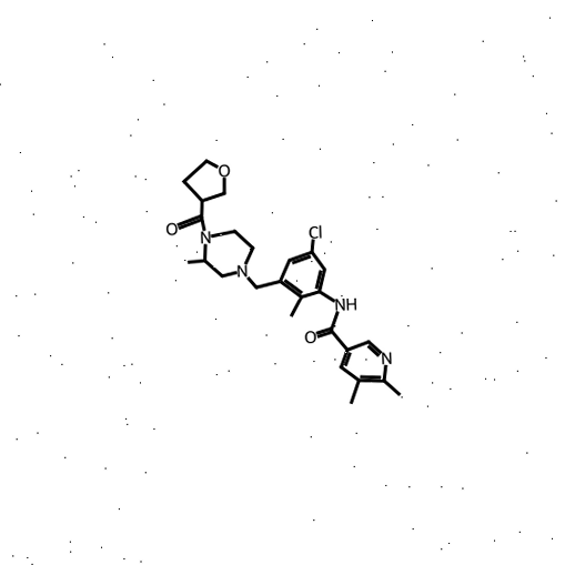 Cc1cc(C(=O)Nc2cc(Cl)cc(CN3CCN(C(=O)C4CCOC4)C(C)C3)c2C)cnc1C